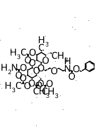 CC[C@@H]1OC(OCCOCCNC(=O)OCc2ccccc2)[C@@H](O[C@H]2O[C@H](COC(C)=O)[C@@H](OC(C)=O)[C@H](OC(C)=O)[C@@H]2OC(N)=O)[C@@H](OC(C)=O)[C@@H]1C